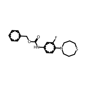 O=C(Nc1ccc(N2CCCSCCC2)c(F)c1)OCc1ccccc1